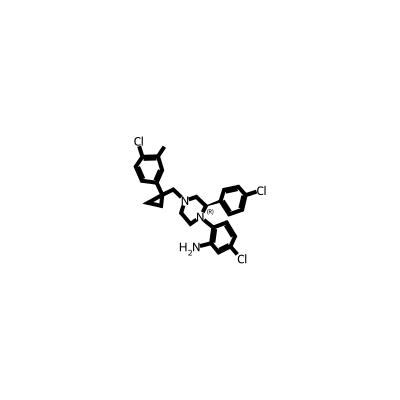 Cc1cc(C2(CN3CCN(c4ccc(Cl)cc4N)[C@H](c4ccc(Cl)cc4)C3)CC2)ccc1Cl